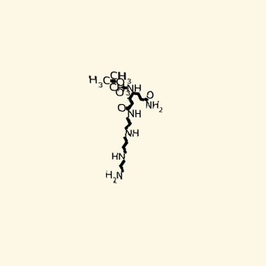 CC(C)(C)OC(=O)NC(CCC(N)=O)CCC(=O)NCCCNCCCCNCCCN